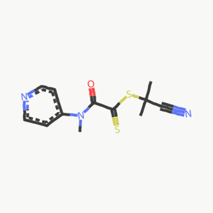 CN(C(=O)C(=S)SC(C)(C)C#N)c1ccncc1